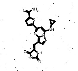 NC(=O)c1ccc(-c2cc(NC3CC3)n3ncc(C=C4NC(=O)NC4=O)c3n2)s1